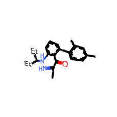 CCC(CC)Nc1cccc(-c2ccc(C)cc2C)c1C(=O)C(C)=N